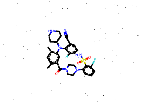 Cc1cc(C)c(N(c2c(F)cccc2C#N)C2CCNCC2)cc1C(=O)N1CCN(c2cccc(F)c2S(N)(=O)=O)CC1